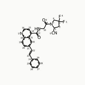 N#CC1CC(F)(F)CN1C(=O)CNC(=O)c1ccnc2ccc(C=Cc3ccccc3)cc12